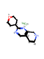 Cl.c1nc(C2CCOCC2)nc2c1CCNC2